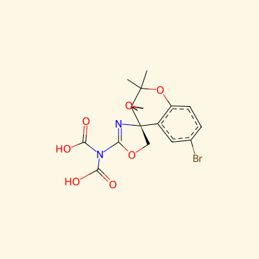 CC1(C)Oc2ccc(Br)cc2[C@@]2(COC(N(C(=O)O)C(=O)O)=N2)C12COC2